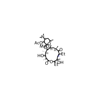 CC/C1=C\[C@](C)(O)[C@@H](CC)OC(=O)[C@H](C)[C@@H](O)[C@H](C)[C@@H](O[C@@H]2O[C@H](C)C[C@H](N(C)C)[C@H]2OC(C)=O)[C@@](C)(OC)C[C@@H](C)C1=O